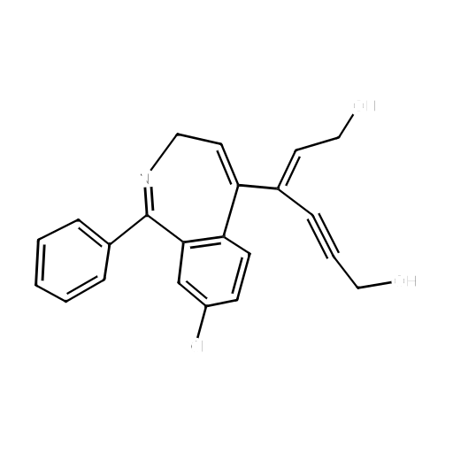 OCC#CC(=CCO)C1=CCN=C(c2ccccc2)c2cc(Cl)ccc21